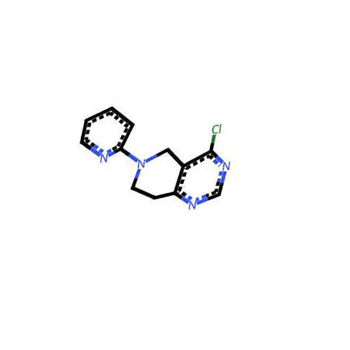 Clc1ncnc2c1CN(c1ccccn1)CC2